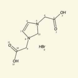 Br.O=C(O)CN1C=CN(CC(=O)O)C1